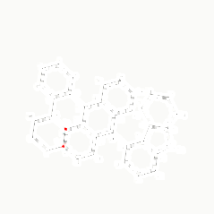 C1=CCCC(c2ccccc2-c2c3ccccc3c(-c3cccc4sc5ccccc5c34)c3ccccc23)=C1